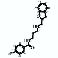 O=C(NCCCNCC1Cc2ccccc2O1)c1ccc(F)cc1